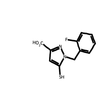 O=C(O)c1cc(S)n(Cc2ccccc2F)n1